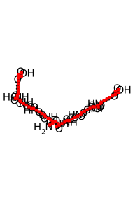 CC(=O)[C@H](CCCCNC(=O)COCCOCCNC(=O)COCCOCCNC(=O)CC[C@H](NC(=O)CCCCCCCCCOc1ccc(C(=O)O)cc1)C(=O)O)NCC(=O)[C@H](CCCCNC(=O)COCCOCCNC(=O)COCCOCCNC(=O)CC[C@H](NC(=O)CCCCCCCCCOc1ccc(C(=O)O)cc1)C(=O)O)CC(=O)C(C)(C)N